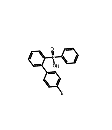 O=P(O)(c1ccccc1)c1ccccc1-c1ccc(Br)cc1